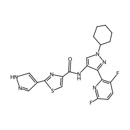 O=C(Nc1cn(C2CCCCC2)nc1-c1nc(F)ccc1F)c1csc(-c2cn[nH]c2)n1